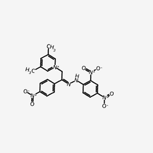 Cc1cc(C)c[n+](C/C(=N\Nc2ccc([N+](=O)[O-])cc2[N+](=O)[O-])c2ccc([N+](=O)[O-])cc2)c1